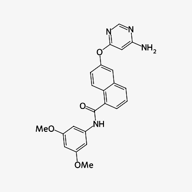 COc1cc(NC(=O)c2cccc3cc(Oc4cc(N)ncn4)ccc23)cc(OC)c1